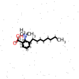 CCCCCCCCc1cccc(C(=O)O)c1N(C)C